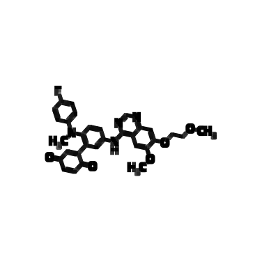 COCCOc1cc2ncnc(Nc3ccc(N(C)c4ccc(F)cc4)c(C4=CC(=O)C=CC4=O)c3)c2cc1OC